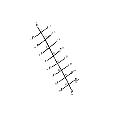 FC(F)(F)C(F)(F)C(F)(F)C(F)(F)C(F)(F)C(F)(F)C(F)(F)[C](F)(F)[Sb]